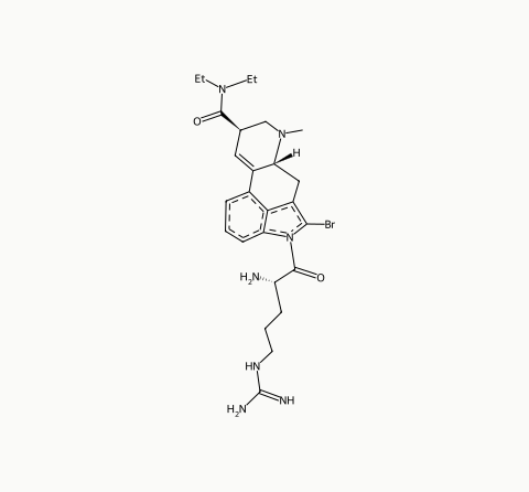 CCN(CC)C(=O)[C@@H]1C=C2c3cccc4c3c(c(Br)n4C(=O)[C@@H](N)CCCNC(=N)N)C[C@H]2N(C)C1